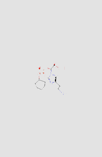 NCCc1cn(C(OS(=O)(=O)OC2CCCCC2)C(=O)O)cn1